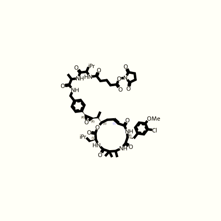 COc1ccc(C[C@H]2NC(=O)/C=C/C[C@@H](C(C)[C@H]3O[C@@H]3c3ccc(CNC(=O)C(C)NC(=O)C(NC(=O)CCCC(=O)ON4C(=O)CCC4=O)C(C)C)cc3)OC(=O)[C@H](CC(C)C)NC(=O)C(C)(C)C(C)NC2=O)cc1Cl